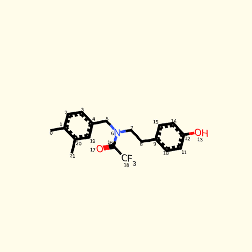 Cc1ccc(CN(CCc2ccc(O)cc2)C(=O)C(F)(F)F)cc1C